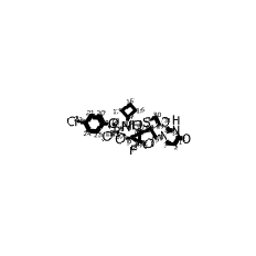 O=c1ccn([C@@H]2O[C@]3(F)C(OP(=O)(NC4CCC4)Oc4ccc(Cl)cc4)[C@]3(O)[C@]23CCS3)c(=O)[nH]1